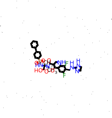 CN(C(=O)c1c[nH]c2c(F)c(CNc3ncc[nH]3)c(F)cc2c1=O)C(C)(NS(=O)(=O)c1ccc(-c2ccccc2)cc1)C(=O)O